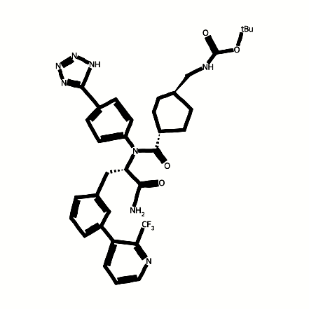 CC(C)(C)OC(=O)NC[C@H]1CC[C@H](C(=O)N(c2ccc(-c3nnn[nH]3)cc2)[C@@H](Cc2cccc(-c3cccnc3C(F)(F)F)c2)C(N)=O)CC1